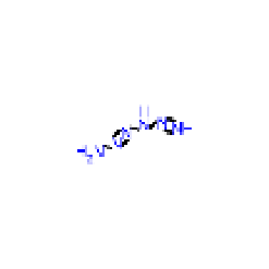 NCCN1CCN(CCNCCN2CCNCC2)CC1